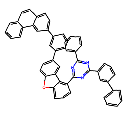 c1ccc(-c2cccc(-c3nc(-c4ccccc4)nc(-c4cccc5oc6ccc(-c7cccc(-c8ccc9ccc%10ccccc%10c9c8)c7)cc6c45)n3)c2)cc1